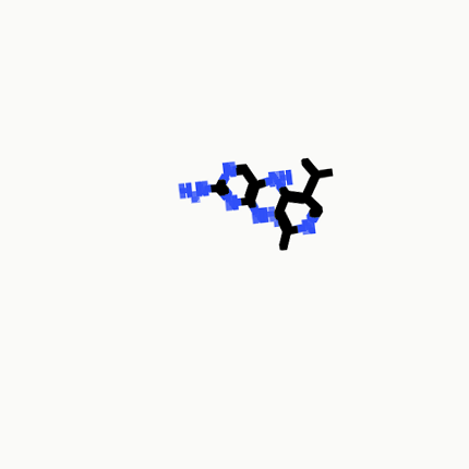 Cc1cc(Nc2cnc(N)nc2N)c(C(C)C)cn1